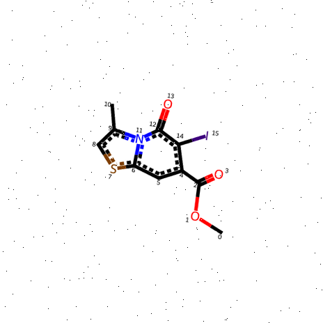 COC(=O)c1cc2scc(C)n2c(=O)c1I